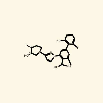 N#Cc1cccc(F)c1-c1cc(-n2ccc(N3CC[C@H](F)[C@H](O)C3)n2)c2c(n1)CNC2O